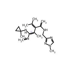 C=N/C(NC1(C)CC1)=C(\C)C(C(=C)NCc1ncn(C)n1)=C(C)C